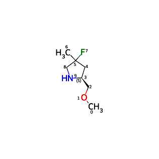 COC[C@@H]1CC(C)(F)CN1